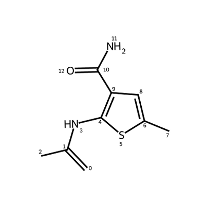 C=C(C)Nc1sc(C)cc1C(N)=O